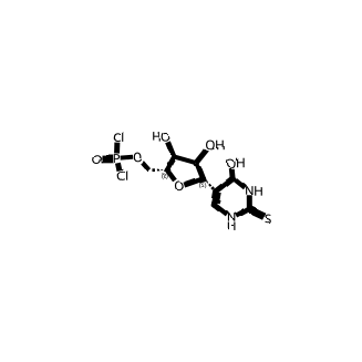 O=P(Cl)(Cl)OC[C@H]1O[C@@H](C2=CNC(=S)NC2O)C(O)C1O